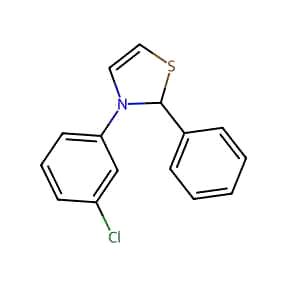 Clc1cccc(N2C=CSC2c2ccccc2)c1